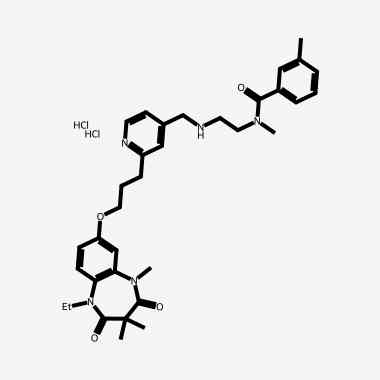 CCN1C(=O)C(C)(C)C(=O)N(C)c2cc(OCCCc3cc(CNCCN(C)C(=O)c4cccc(C)c4)ccn3)ccc21.Cl.Cl